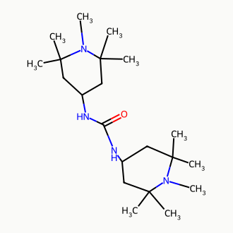 CN1C(C)(C)CC(NC(=O)NC2CC(C)(C)N(C)C(C)(C)C2)CC1(C)C